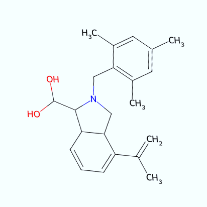 C=C(C)C1=CC=CC2C1CN(Cc1c(C)cc(C)cc1C)C2C(O)O